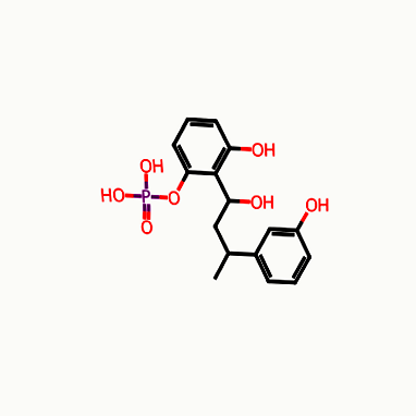 CC(CC(O)c1c(O)cccc1OP(=O)(O)O)c1cccc(O)c1